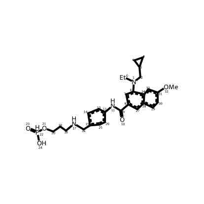 CCN(CC1CC1)c1cc(C(=O)Nc2ccc(CNCCCO[PH](=O)O)cc2)cc2ccc(OC)cc12